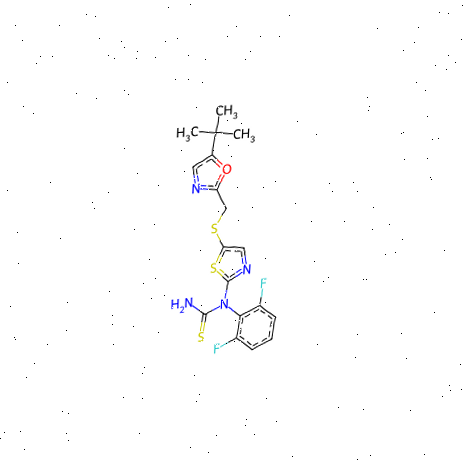 CC(C)(C)c1cnc(CSc2cnc(N(C(N)=S)c3c(F)cccc3F)s2)o1